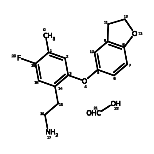 Cc1cc(Oc2ccc3c(c2)CCO3)c(CCN)cc1F.O=CO